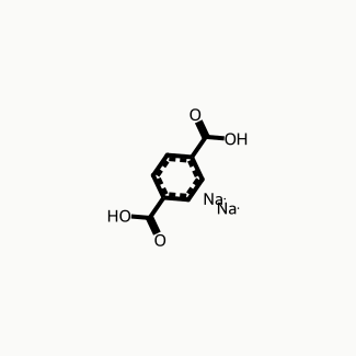 O=C(O)c1ccc(C(=O)O)cc1.[Na].[Na]